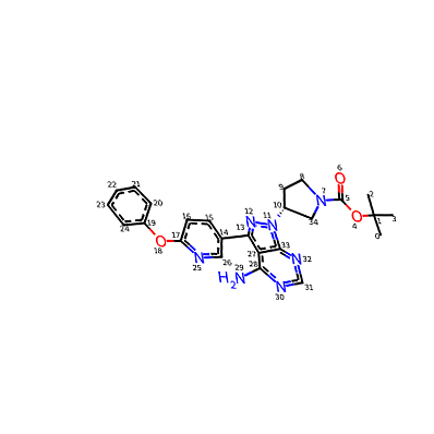 CC(C)(C)OC(=O)N1CC[C@@H](n2nc(-c3ccc(Oc4ccccc4)nc3)c3c(N)ncnc32)C1